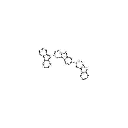 c1ccc2c(c1)oc1ccc(-c3ccc4c(c3)sc3ccc(-n5c6ccccc6c6ccccc65)cc34)cc12